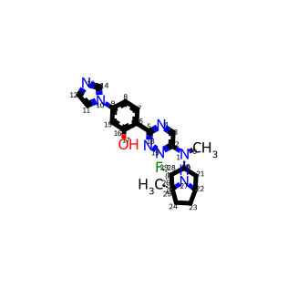 CN(c1cnc(-c2ccc(-n3ccnc3)cc2O)nn1)[C@@H]1CC2CC[C@](C)(N2)[C@@H]1F